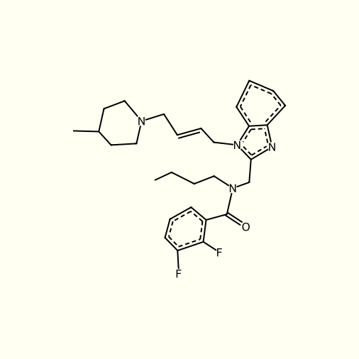 CCCCN(Cc1nc2ccccc2n1CC=CCN1CCC(C)CC1)C(=O)c1cccc(F)c1F